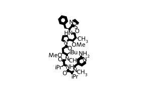 CC[C@H](C)C([C@@H](CC(=O)N1CCC[C@H]1[C@H](OC)[C@@H](C)C(=O)N[C@@H](Cc1ccccc1)c1nccs1)OC)N(C)C(=O)[C@@H](NC(=O)C(C(C)C)N(C)Cc1ccnc(N)c1)C(C)C